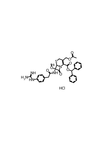 CO[C@@]1(NC(=O)Cc2ccc(NC(=N)N)cc2)C(=O)N2C(C(=O)OC(c3ccccc3)c3ccccc3)=C(COC(C)=O)CS[C@@H]21.Cl